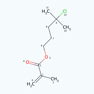 C=C(C)C(=O)OCCCC(C)(C)Cl